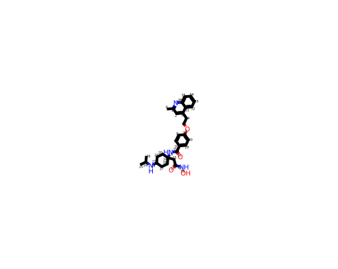 Cc1cc(CCOc2ccc(C(=O)NC3(CC(=O)NO)CCC(NC(C)C)CC3)cc2)c2ccccc2n1